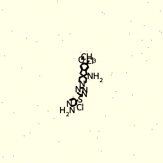 COc1cc2c(cc1Cl)[C@H](N)C1(CCN(c3ncc(Sc4ccnc(N)c4Cl)nn3)CC1)C2